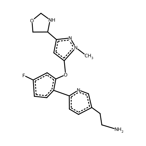 Cn1nc(C2COCN2)cc1Oc1cc(F)ccc1-c1ccc(CCN)cn1